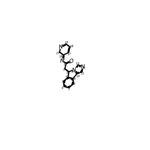 O=C(CC1c2ccccc2-c2cncn21)N=C1C=CC=NC1